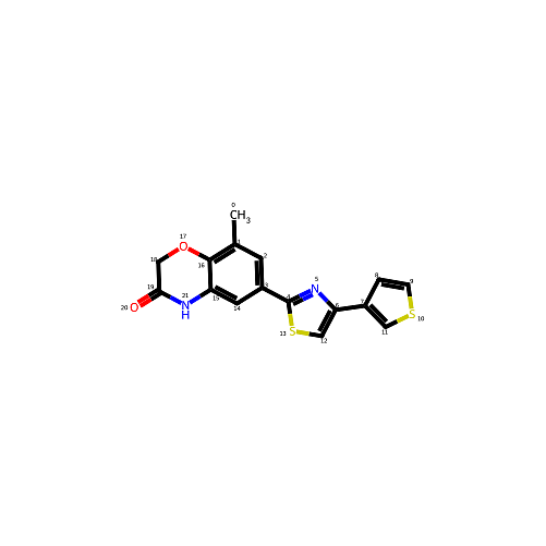 Cc1cc(-c2nc(-c3ccsc3)cs2)cc2c1OCC(=O)N2